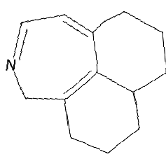 C1=NCC2=C3C(=C1)CCCC3CCC2